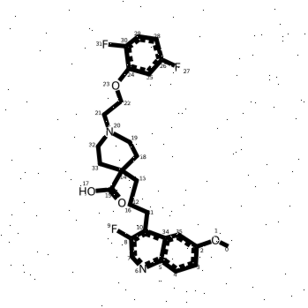 COc1ccc2ncc(F)c(CCCC3(C(=O)O)CCN(CCOc4cc(F)ccc4F)CC3)c2c1